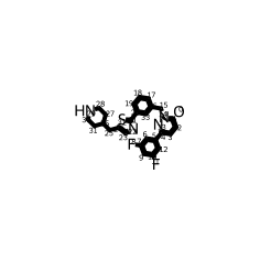 O=c1ccc(-c2cc(F)cc(F)c2)nn1Cc1cccc(-c2ncc(CC3CCNCC3)s2)c1